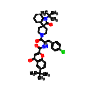 CC(C)(C)NC(=O)C1(C2CCCCC2)CCN(C(=O)[C@@H](Cc2ccc(Cl)cc2)NC(=O)c2cc(=O)c3cc(C(C)(C)C)ccc3o2)CC1